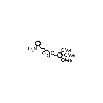 COc1cc(COC(=O)CC(=O)C=Cc2ccccc2[N+](=O)[O-])cc(OC)c1OC